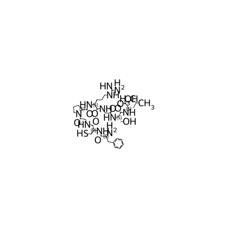 CC(C)C[C@H](NC(=O)[C@H](CO)NC(=O)CNC(=O)[C@H](CCCNC(=N)N)NC(=O)[C@@H]1CCCN1C(=O)CNC(=O)[C@H](CS)NC(=O)[C@@H](N)Cc1ccccc1)C(=O)O